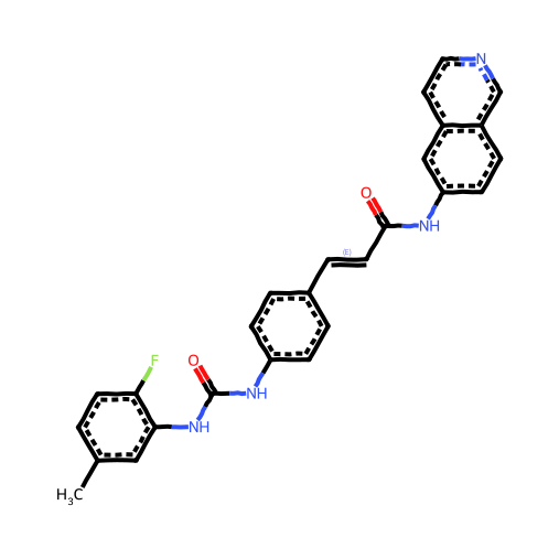 Cc1ccc(F)c(NC(=O)Nc2ccc(/C=C/C(=O)Nc3ccc4cnccc4c3)cc2)c1